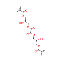 C=C(C)C(=O)OCC(O)COC(=O)C(=O)OCC(O)COC(=O)C(=C)C